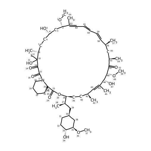 CO[C@H]1C[C@@H](O)CC[C@@H](C)C(O)(I)C(=O)C(=O)N2CCCC[C@H]2C(=O)O[C@H]([C@H](C)C[C@@H]2CC[C@@H](O)[C@H](OC)C2)CC[C@H](C)/C=C(\C)[C@@H](O)[C@@H](OC)C(=O)[C@H](C)C[C@H](C)/C=C/C=C/C=C/1C